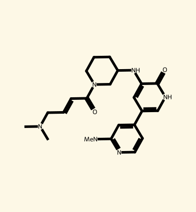 CNc1cc(-c2c[nH]c(=O)c(NC3CCCN(C(=O)/C=C/CN(C)C)C3)c2)ccn1